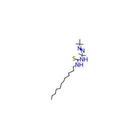 CCCCCCCCCCCCNC(=S)NC(C)(C)N=NC(C)(C)C